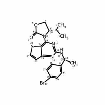 CC(C)[C@H]1COC(=O)N1c1nc(N[C@@H](C)c2ccc(Br)cc2)nc2ccsc12